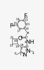 Cc1nn(C)c(NC(=O)Cc2cc(F)cc(F)c2)c1C1CCC1